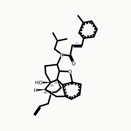 C=CCN1CC[C@]23c4c5cccc4OC2C(N(CC(C)C)C(=O)/C=C/c2cccc(C)c2)CC[C@@]3(O)[C@H]1C5